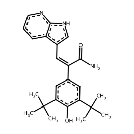 CC(C)(C)c1cc(/C(=C/c2c[nH]c3ncccc23)C(N)=O)cc(C(C)(C)C)c1O